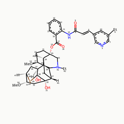 CCc1cncc(/C=C/C(=O)Nc2ccccc2C(=O)O[C@@]23CC[C@H](OC)[C@]45C([C@@H](C[C@H]24)[C@@]2(O)C[C@H](OC)[C@H]4C[C@@H]5[C@]2(O)S4)N(CC)C3)c1